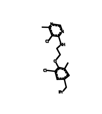 Cc1cc(CC(C)C)cc(Cl)c1OCCNc1ncnc(C)c1Cl